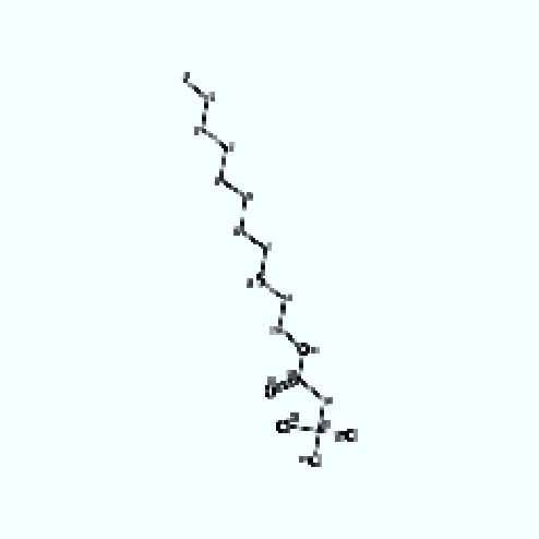 CCCCCCCCSCCOC(=O)CC(Cl)(Cl)Cl